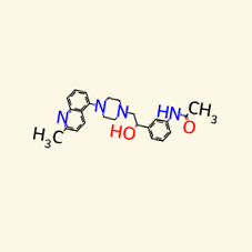 CC(=O)Nc1cccc(C(O)CN2CCN(c3cccc4nc(C)ccc34)CC2)c1